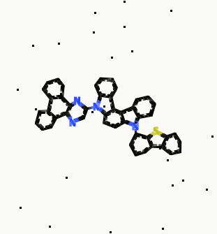 c1ccc2c(c1)sc1c(-n3c4ccccc4c4c5c6ccccc6n(-c6cnc7c8ccccc8c8ccccc8c7n6)c5ccc43)cccc12